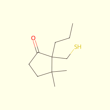 CCCC1(CS)C(=O)CCC1(C)C